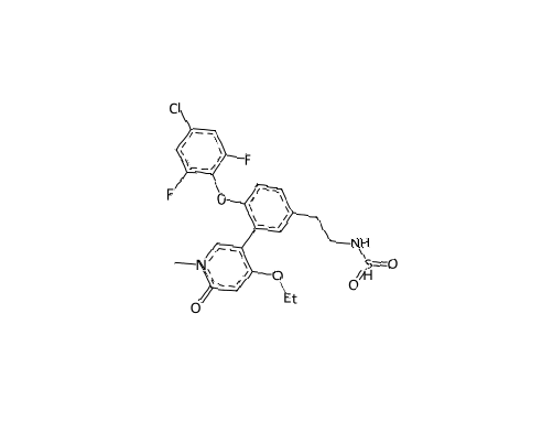 CCOc1cc(=O)n(C)cc1-c1cc(CCN[SH](=O)=O)ccc1Oc1c(F)cc(Cl)cc1F